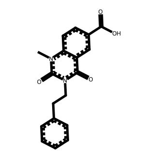 Cn1c(=O)n(CCc2ccccc2)c(=O)c2cc(C(=O)O)ccc21